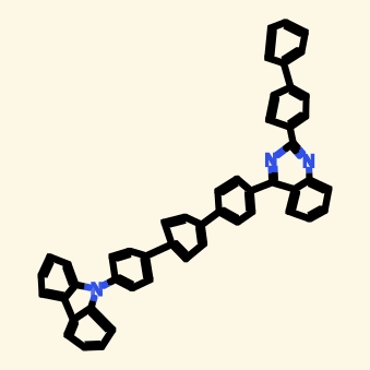 c1ccc(-c2ccc(-c3nc(-c4ccc(-c5ccc(-c6ccc(-n7c8ccccc8c8ccccc87)cc6)cc5)cc4)c4ccccc4n3)cc2)cc1